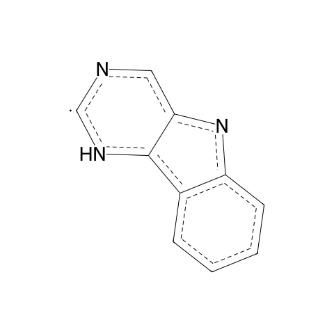 [c]1ncc2nc3ccccc3c-2[nH]1